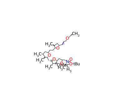 C=CCOC/C=C/C1CC(=C)C(CCC2CC(C)C(=C)C(C[C@@H]3OC(CC4CN(C(=O)OC(C)(C)C)C(C)(C)O4)[C@H](OC)C3C)O2)O1